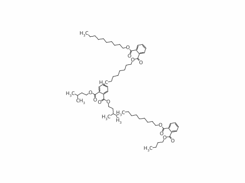 CC(C)CCOC(=O)c1ccccc1C(=O)OCCC(C)C.CCCCCCCCCCOC(=O)c1ccccc1C(=O)OCCCCCCCC.CCCCCCCCCOC(=O)c1ccccc1C(=O)OCCCC